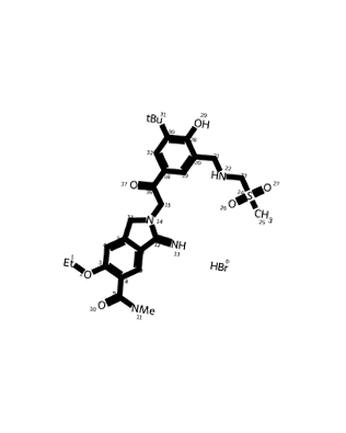 Br.CCOc1cc2c(cc1C(=O)NC)C(=N)N(CC(=O)c1cc(CNCS(C)(=O)=O)c(O)c(C(C)(C)C)c1)C2